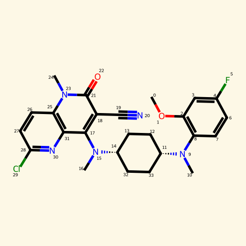 COc1cc(F)ccc1N(C)[C@H]1CC[C@@H](N(C)c2c(C#N)c(=O)n(C)c3ccc(Cl)nc23)CC1